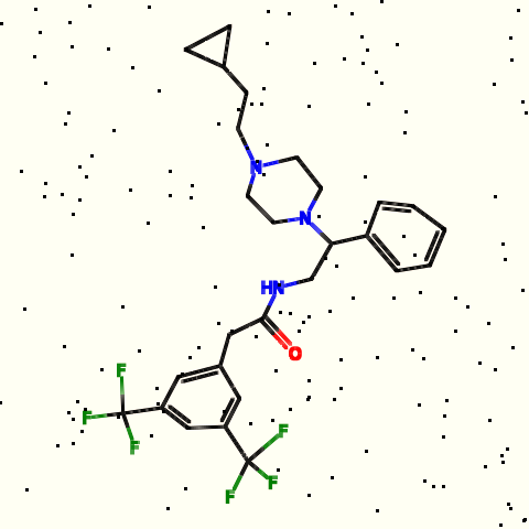 O=C(Cc1cc(C(F)(F)F)cc(C(F)(F)F)c1)NCC(c1ccccc1)N1CCN(CCC2CC2)CC1